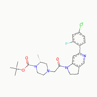 C[C@@H]1CN(CC(=O)N2CCc3cnc(-c4ccc(Cl)cc4F)cc32)CCN1C(=O)OC(C)(C)C